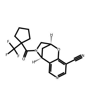 N#Cc1cncc2c1O[C@H]1C[C@@H]2N(C(=O)C2(C(F)(F)F)CCCC2)C1